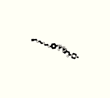 C#CCOCCOCCOc1ccc(NC(=O)Nc2nc(CC(=O)N3CCN(C)CC3)cs2)cc1